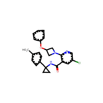 O=C(O)c1ccc(C2(NC(=O)c3cc(Cl)cnc3N3CC(Oc4ccccc4)C3)CC2)cc1